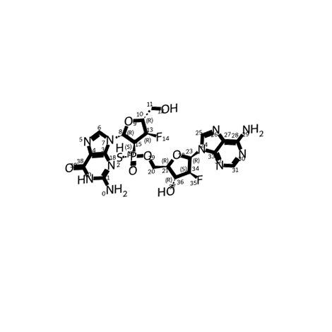 Nc1nc2c(ncn2[C@@H]2O[C@H](CO)[C@@H](F)[C@H]2[P@@](=O)(S)OC[C@H]2O[C@@H](n3cnc4c(N)ncnc43)[C@@H](F)[C@@H]2O)c(=O)[nH]1